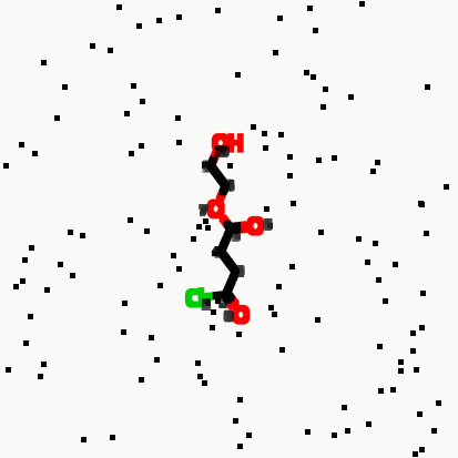 O=C(Cl)CCC(=O)OCCO